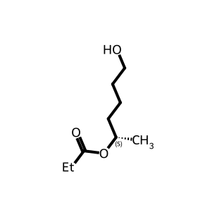 CCC(=O)O[C@@H](C)CCCCO